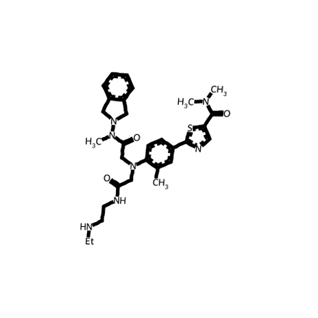 CCNCCNC(=O)CN(CC(=O)N(C)N1Cc2ccccc2C1)c1ccc(-c2ncc(C(=O)N(C)C)s2)cc1C